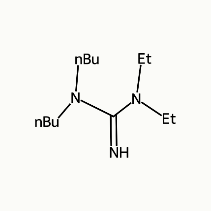 CCCCN(CCCC)C(=N)N(CC)CC